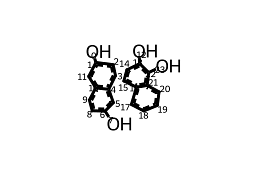 Oc1ccc2cc(O)ccc2c1.Oc1ccc2ccccc2c1O